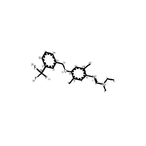 CCN(C)/C=N/c1cc(C)c(OCc2cccc(C(F)(F)F)c2)cc1C